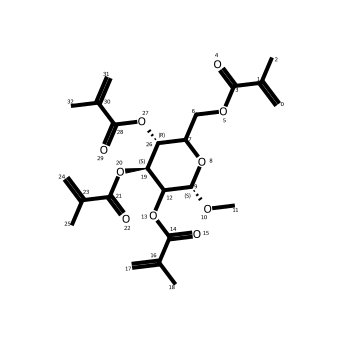 C=C(C)C(=O)OCC1O[C@H](OC)C(OC(=O)C(=C)C)[C@@H](OC(=O)C(=C)C)[C@@H]1OC(=O)C(=C)C